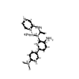 C=C(Nc1cnccn1)N(CCCCC)c1nc(-c2ccc(N(C)C)nc2)ccc1N